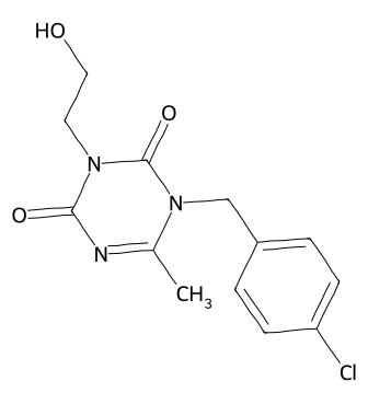 Cc1nc(=O)n(CCO)c(=O)n1Cc1ccc(Cl)cc1